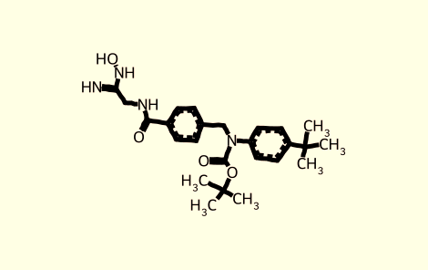 CC(C)(C)OC(=O)N(Cc1ccc(C(=O)NCC(=N)NO)cc1)c1ccc(C(C)(C)C)cc1